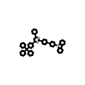 c1ccc(-c2cc(-c3ccc(C(c4ccccc4)(c4ccccc4)c4ccccc4)cc3)nc(-c3ccc(-c4ccc(-n5c6ccccc6c6ccccc65)cc4)cc3)n2)cc1